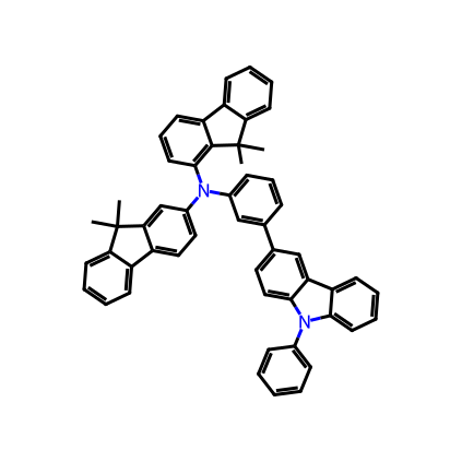 CC1(C)c2ccccc2-c2ccc(N(c3cccc(-c4ccc5c(c4)c4ccccc4n5-c4ccccc4)c3)c3cccc4c3C(C)(C)c3ccccc3-4)cc21